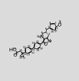 COc1ccc(CCCN(C)c2c(C)noc2-c2ccc(-c3ccc(C4(CC(=O)O)CC4)cc3)cc2)cc1